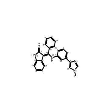 Cn1cnc(-c2cccc(NC(=C3C(=O)Nc4ccccc43)c3ccccc3)c2)c1